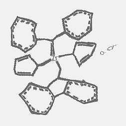 C1=C[CH]([Zr](=[C](c2ccccc2)c2ccccc2)([CH]2C=CC=C2)[CH]2c3ccccc3-c3ccccc32)C=C1.[Cl-].[Cl-]